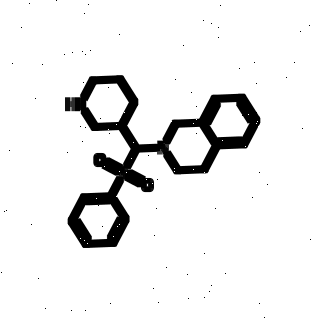 O=S(=O)(c1ccccc1)C(C1CCCNC1)N1CCc2ccccc2C1